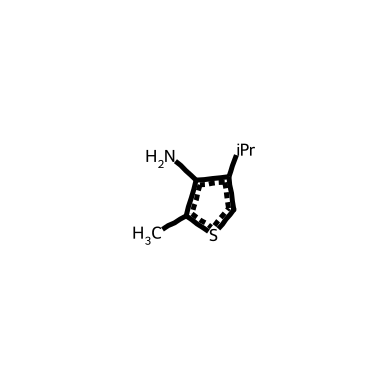 Cc1scc(C(C)C)c1N